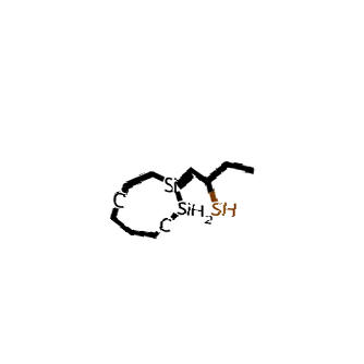 CCC(S)C=[Si]1CCCCCCC[SiH2]1